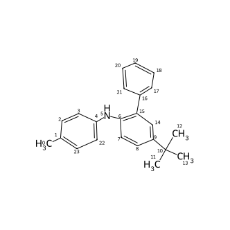 Cc1ccc(Nc2ccc(C(C)(C)C)cc2-c2ccccc2)cc1